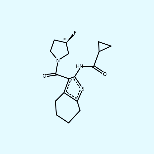 O=C(Nc1sc2c(c1C(=O)N1CC[C@@H](F)C1)CCCC2)C1CC1